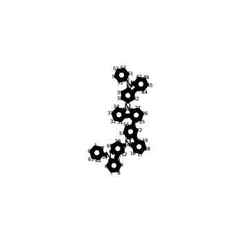 c1ccc(-n2c3ccccc3c3cc(-n4c5ccccc5c5cc(-c6cccc7c6c6ccccc6n7-c6ccc7c(c6)c6ccccc6n7-c6ccccc6)ccc54)ccc32)cc1